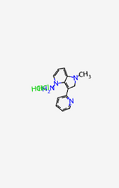 CN1CC(c2ccccn2)=C2C1=CC=CN2N.Cl.Cl